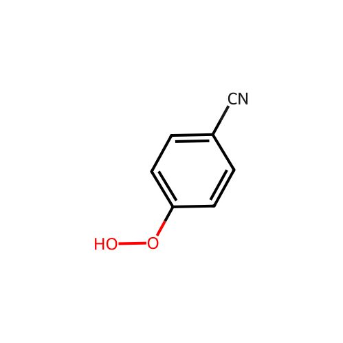 N#Cc1ccc(OO)cc1